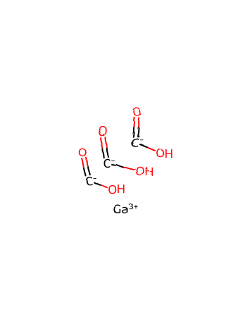 O=[C-]O.O=[C-]O.O=[C-]O.[Ga+3]